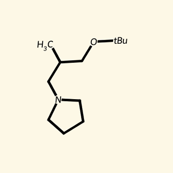 CC(COC(C)(C)C)CN1CCCC1